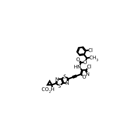 CC(OC(=O)Nc1c(Cl)noc1C#Cc1nc2sc(C3(C(=O)O)CC3)nc2s1)c1ccccc1Cl